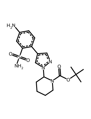 CC(C)(C)OC(=O)N1CCCCC1n1cc(-c2ccc(N)cc2S(N)(=O)=O)cn1